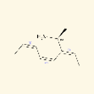 C\C=C/C=C\C(=C/C)[C@H](C)N